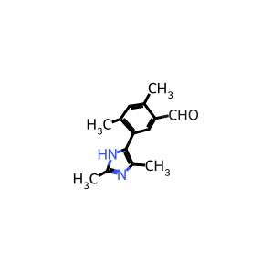 Cc1nc(C)c(-c2cc(C=O)c(C)cc2C)[nH]1